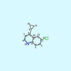 Clc1ccc2nccc(C3CC3)c2c1